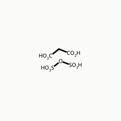 O=C(O)CC(=O)O.O=S(=O)(O)OS(=O)(=O)O